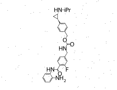 CC(C)N[C@H]1C[C@@H]1c1ccc(COC(=O)NCc2ccc(C(=O)Nc3ccccc3N)c(F)c2)cc1